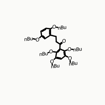 CCCCOc1ccc(OCCCC)c(CCC(=O)c2c(OCCCC)c(OCCCC)cc(OCCCC)c2OCCCC)c1